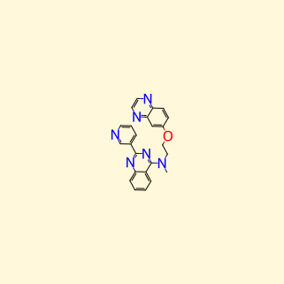 CN(CCOc1ccc2nccnc2c1)c1nc(-c2cccnc2)nc2ccccc12